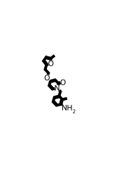 Cc1ccc(CCOc2ccn(Cc3cccc(N)c3C)c(=O)c2)o1